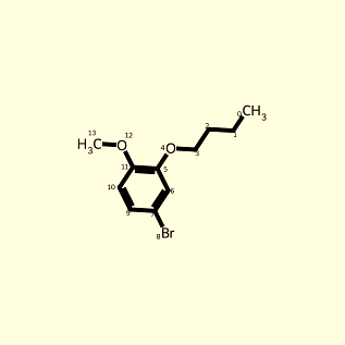 CCCCOc1cc(Br)ccc1OC